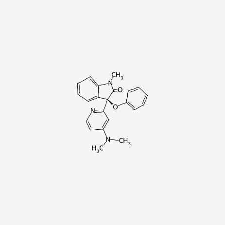 CN(C)c1ccnc([C@@]2(Oc3ccccc3)C(=O)N(C)c3ccccc32)c1